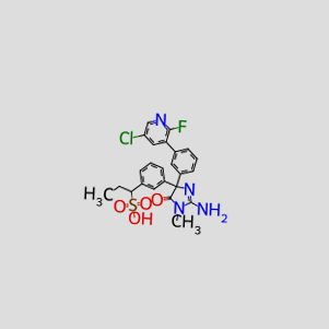 CCC(c1cccc(C2(c3cccc(-c4cc(Cl)cnc4F)c3)N=C(N)N(C)C2=O)c1)S(=O)(=O)O